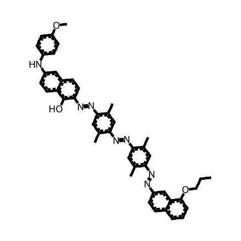 CCCOc1cccc2ccc(N=Nc3cc(C)c(N=Nc4cc(C)c(N=Nc5ccc6cc(Nc7ccc(OC)cc7)ccc6c5O)cc4C)cc3C)cc12